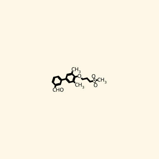 Cc1cc(-c2cccc(C=O)c2)cc(C)c1OCCCS(C)(=O)=O